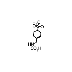 CS(=O)(=O)C1CC=C(CNC(=O)O)CC1